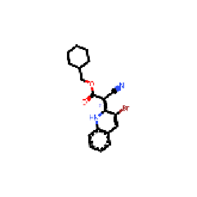 N#C/C(C(=O)OCC1CCCCC1)=C1/Nc2ccccc2C=C1Br